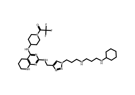 O=C(N1CCC(Nc2nc(NCc3cn(CCCNCCCNC4CCCCC4)nn3)nc3c2CCCN3)CC1)C(F)(F)F